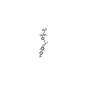 CCC(CCc1ccc(C(=O)NCCC(=O)OC)s1)COc1cc(C)c(-c2ccc(C(C)(C)C)cc2)c(C)c1